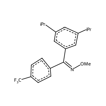 CO/N=C(/c1ccc(C(F)(F)F)cc1)c1cc(C(C)C)[c]c(C(C)C)c1